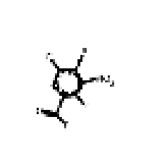 O=C(F)c1cc(F)c(F)c([N+](=O)[O-])c1F